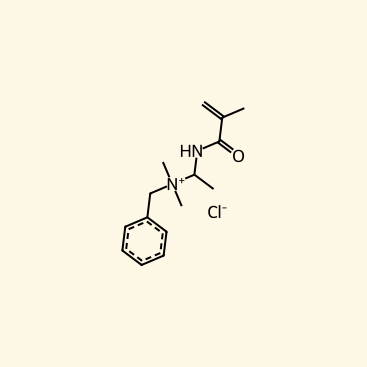 C=C(C)C(=O)NC(C)[N+](C)(C)Cc1ccccc1.[Cl-]